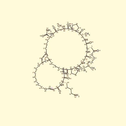 COOC(=O)C[C@@H]1NC(=O)[C@H](CC(C)C)NC(=O)[C@@H]2CCCN2C(=O)[C@@H]2CSCc3cc(cc(c3)OCCCCCCO/N=C/C(=O)N[C@@H](CCCCN)C(=O)N2)CSC[C@@H](C(N)=O)NC(=O)[C@H](C)NC(=O)[C@@H]2CCCN2C(=O)[C@H](C)NC1=O